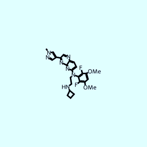 COc1cc(OC)c(F)c(N(CCNC2CCC2)c2ccc3ncc(-c4cnn(C)c4)nc3n2)c1F